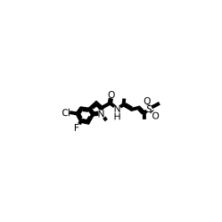 C/C(=C\C=C(/C)S(C)(=O)=O)NC(=O)c1cc2cc(Cl)c(F)cc2n1C